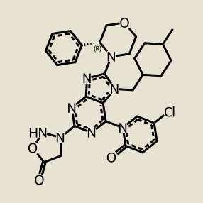 CC1CCC(Cn2c(N3CCOC[C@H]3c3ccccc3)nc3nc(N4CC(=O)ON4)nc(-n4cc(Cl)ccc4=O)c32)CC1